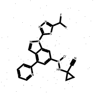 N#CC1(N[S+]([O-])c2cc(-c3ccccn3)c3cnn(-c4nnc(C(F)F)s4)c3c2)CC1